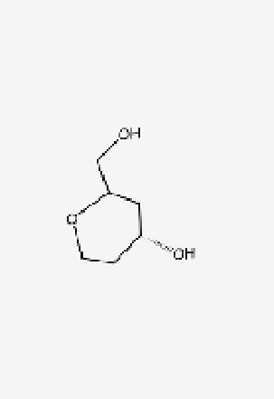 OCC1C[C@H](O)CCO1